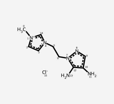 C[n+]1ccn(CCn2ncc(N)c2N)c1.[Cl-]